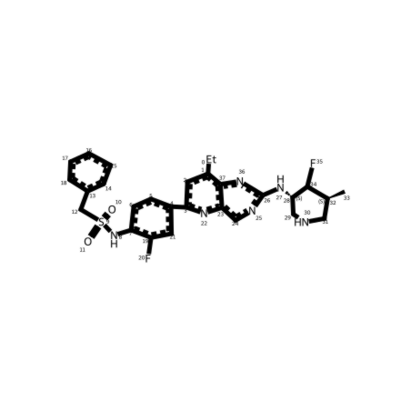 CCc1cc(-c2ccc(NS(=O)(=O)Cc3ccccc3)c(F)c2)nc2cnc(N[C@H]3CNC[C@H](C)C3F)nc12